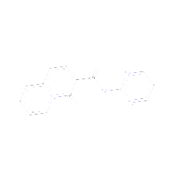 O=C(Nc1ncccn1)c1ccc2ccccn2c1=O